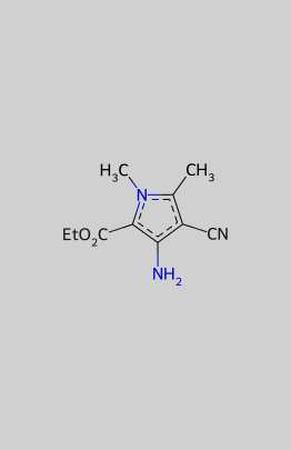 CCOC(=O)c1c(N)c(C#N)c(C)n1C